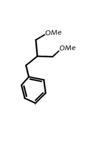 COCC(COC)Cc1cc[c]cc1